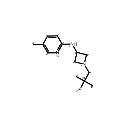 Cc1ccc(NC2CN(CC(C)(C)F)C2)nc1